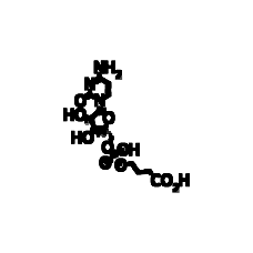 Nc1ccn([C@@H]2O[C@H](COP(=O)(O)OCCCC(=O)O)[C@@H](O)[C@@H]2O)c(=O)n1